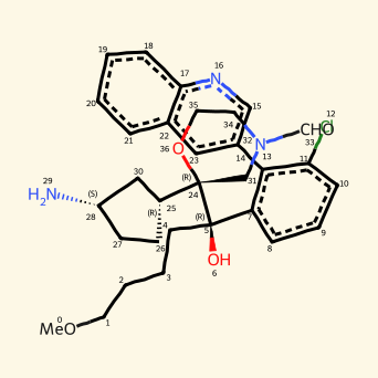 COCCCC[C@@](O)(c1cccc(Cl)c1-c1cnc2ccccc2c1)[C@@]1([C@@H]2CC[C@H](N)C2)CN(C=O)CCO1